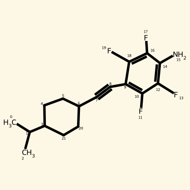 CC(C)C1CCC(C#Cc2c(F)c(F)c(N)c(F)c2F)CC1